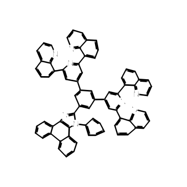 c1ccc(-n2c(-c3cc(-c4cc(-c5cccc6cccnc56)nc(-c5cccc6cccnc56)c4)cc(-c4cc(-c5cccc6cccnc56)nc(-c5cccc6cccnc56)c4)c3)nc3c4ccccc4c4ccccc4c32)cc1